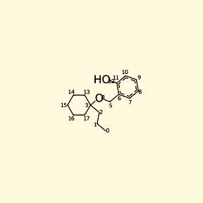 CCCC1(OCc2ccccc2O)CCCCC1